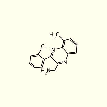 Cc1cccc2nc(CN)c(-c3ccccc3Cl)nc12